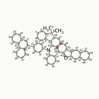 CC1(C)c2ccccc2-c2c(N(c3ccc(-c4cc5ccccc5c5ccccc45)cc3)c3ccccc3-c3cccc4c3oc3cc5ccccc5cc34)cccc21